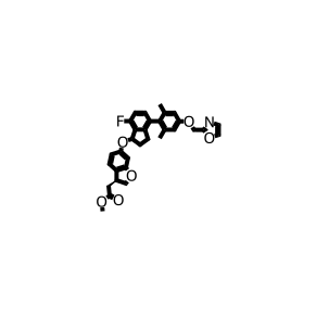 COC(=O)C[C@@H]1COc2cc(OC3CCc4c(-c5c(C)cc(OCc6ncco6)cc5C)ccc(F)c43)ccc21